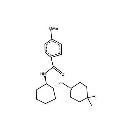 COc1ccc(C(=O)N[C@@H]2CCCC[C@H]2CN2CCC(F)(F)CC2)cc1